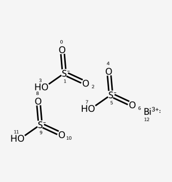 O=[S-](=O)O.O=[S-](=O)O.O=[S-](=O)O.[Bi+3]